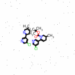 CC1CC=C(c2cncc(Cl)c2)N(C(=O)OC(C)(C)C)C1.CC1CCC(c2cncc(Cl)c2)=NC1